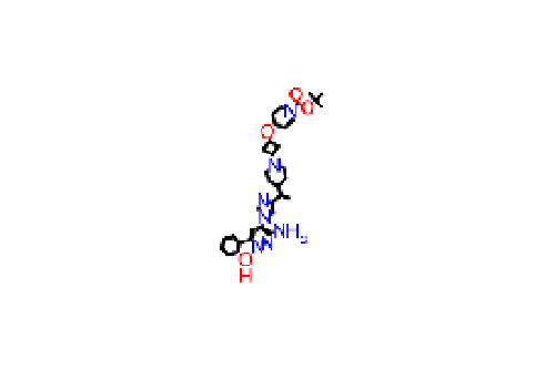 CC(c1cn(-c2cc(-c3ccccc3O)nnc2N)cn1)C1CCN([C@H]2C[C@H](OC3CCN(C(=O)OC(C)(C)C)CC3)C2)CC1